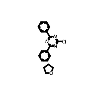 C1CCOC1.Clc1nc(-c2ccccc2)nc(-c2ccccc2)n1